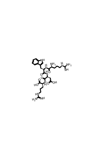 N=C(N)NCCC[C@H](NC(=O)[C@H](CC(=O)O)NC(=O)[C@@H](Cc1c[nH]c2ccccc12)NC(=O)[C@@H](N)CCCNC(=N)N)C(=O)O